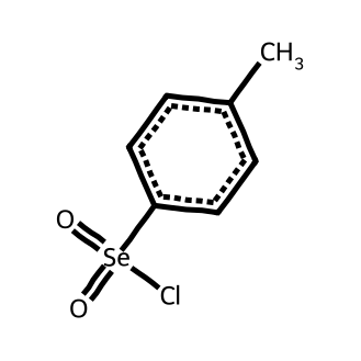 Cc1ccc([Se](=O)(=O)Cl)cc1